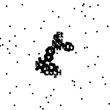 CCOc1nc(N2CCOCC2)nc(N2CCc3cc(-c4c(C)nc(C)c(CC(=O)O)c4N4CCC(C)(C)CC4)ccc3C2)n1